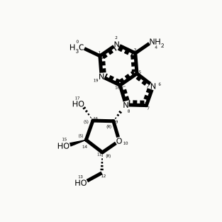 Cc1nc(N)c2ncn([C@@H]3O[C@H](CO)[C@@H](O)[C@@H]3O)c2n1